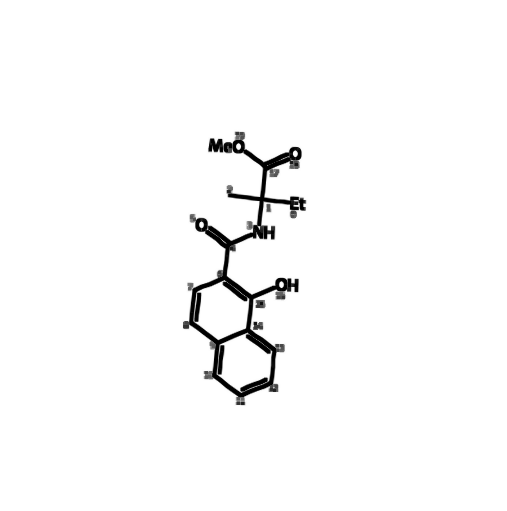 CCC(C)(NC(=O)c1ccc2ccccc2c1O)C(=O)OC